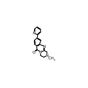 CN1CCn2c(nc3cc(-c4ccccn4)ccc3c2=O)C1